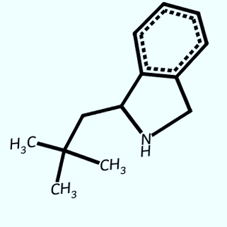 CC(C)(C)CC1NCc2ccccc21